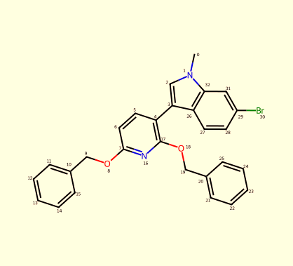 Cn1cc(-c2ccc(OCc3ccccc3)nc2OCc2ccccc2)c2ccc(Br)cc21